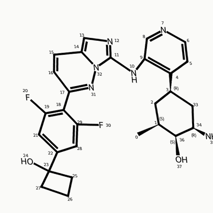 C[C@H]1C[C@@H](c2ccncc2Nc2ncc3ccc(-c4c(F)cc(C5(O)CCC5)cc4F)nn23)C[C@@H](N)[C@H]1O